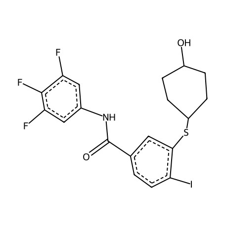 O=C(Nc1cc(F)c(F)c(F)c1)c1ccc(I)c(SC2CCC(O)CC2)c1